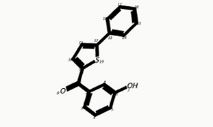 O=C(c1cccc(O)c1)c1ccc(-c2ccccc2)s1